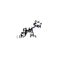 C=C/C(C#N)=C\C=C(/C)CNC(=O)N1CCNCC1